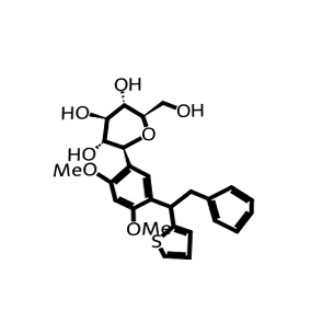 COc1cc(OC)c([C@@H]2O[C@H](CO)[C@@H](O)[C@H](O)[C@H]2O)cc1C(Cc1ccccc1)c1cccs1